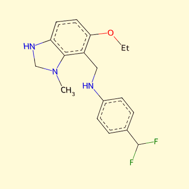 CCOc1ccc2c(c1CNc1ccc(C(F)F)cc1)N(C)CN2